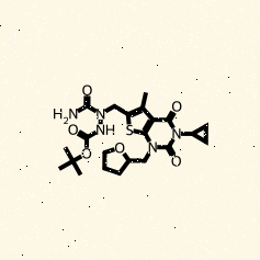 Cc1c(CN(NC(=O)OC(C)(C)C)C(N)=O)sc2c1c(=O)n(C1CC1)c(=O)n2CC1CCCO1